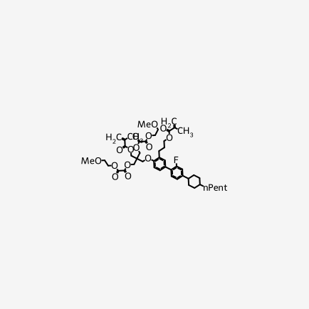 C=C(C)C(=O)OCCCc1cc(-c2ccc(C3CCC(CCCCC)CC3)cc2F)ccc1OCC(COC(=O)C(=C)C)(COC(=O)C(=O)OCCOC)COC(=O)C(=O)OCCOC